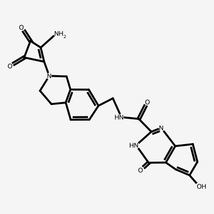 Nc1c(N2CCc3ccc(CNC(=O)c4nc5ccc(O)cc5c(=O)[nH]4)cc3C2)c(=O)c1=O